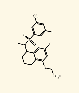 CN(C1CCCc2c(OCC(=O)O)cc(F)cc21)S(=O)(=O)c1cc(F)cc(C(F)(F)F)c1